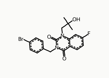 CC(C)(O)Cn1c(=O)n(Cc2ccc(Br)cc2)c(=O)c2ccc(F)cc21